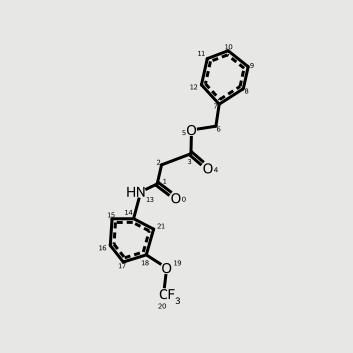 O=C(CC(=O)OCc1ccccc1)Nc1cccc(OC(F)(F)F)c1